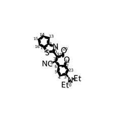 CCN(CC)c1ccc2c(C#N)c(-c3nc4ccccc4s3)c(=O)oc2c1